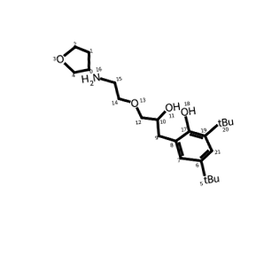 C1CCOC1.CC(C)(C)c1cc(CC(O)COCCN)c(O)c(C(C)(C)C)c1